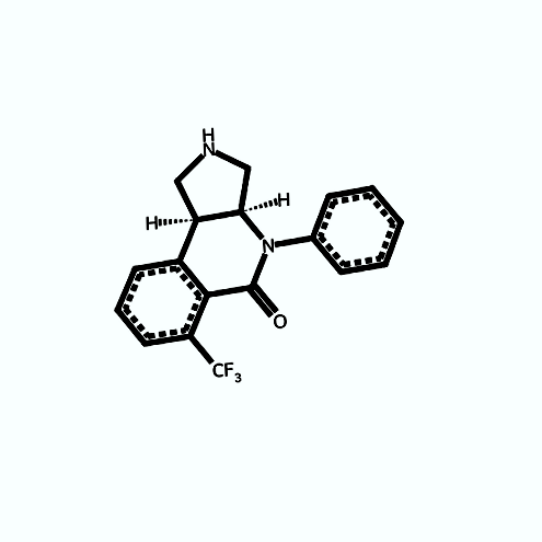 O=C1c2c(cccc2C(F)(F)F)[C@H]2CNC[C@H]2N1c1ccccc1